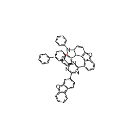 C1=CC2C(c3ccccc3N2c2ccccc2)c2c1oc1cccc(-c3nc(-c4cccc(-c5ccccc5)c4)nc(-c4ccc5c(c4)oc4ccccc45)n3)c21